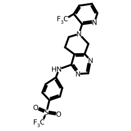 O=S(=O)(c1ccc(Nc2ncnc3c2CCN(c2ncccc2C(F)(F)F)C3)cc1)C(F)(F)F